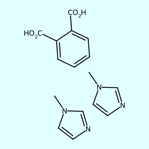 Cn1ccnc1.Cn1ccnc1.O=C(O)c1ccccc1C(=O)O